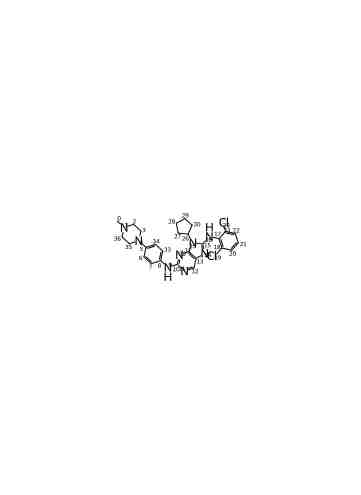 CN1CCN(c2ccc(Nc3ncc4nc(Nc5c(Cl)cccc5Cl)n(C5CCCC5)c4n3)cc2)CC1